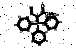 C=CC(C(=O)OC)=P(c1ccccc1)(c1ccccc1)c1ccccc1